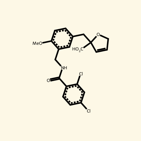 COc1ccc(CC2(C(=O)O)C=CCO2)cc1CNC(=O)c1ccc(Cl)cc1Cl